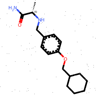 C[C@H](NCc1ccc(OCC2CCCCC2)cc1)C(N)=O